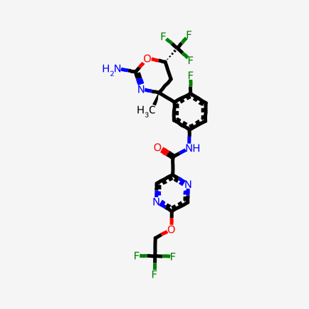 C[C@]1(c2cc(NC(=O)c3cnc(OCC(F)(F)F)cn3)ccc2F)C[C@@H](C(F)(F)F)OC(N)=N1